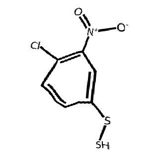 O=[N+]([O-])c1cc(SS)ccc1Cl